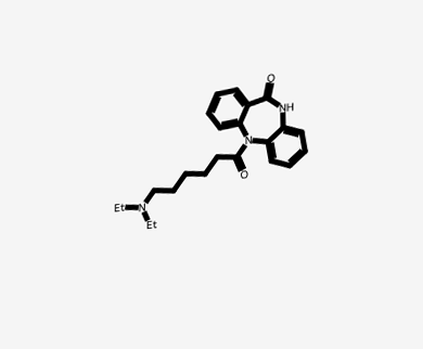 CCN(CC)CCCCCC(=O)N1c2ccccc2NC(=O)c2ccccc21